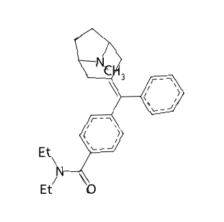 CCN(CC)C(=O)c1ccc(C(=C2CC3CCC(C2)N3C)c2ccccc2)cc1